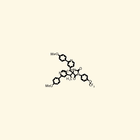 COc1ccc(-c2cc(C(C)C3(C(C)c4ccnc(-c5ccc(OC)cc5)c4)NC(=O)N(c4ccc(OC(F)(F)F)cc4)C3=O)ccn2)cc1